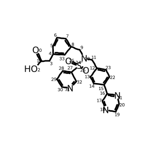 O=C(O)Cc1cccc(CN(Cc2ccc(-c3cnccn3)cc2)S(=O)(=O)c2cccnc2)c1